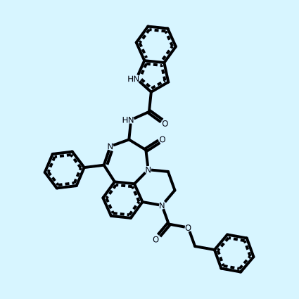 O=C(NC1N=C(c2ccccc2)c2cccc3c2N(CCN3C(=O)OCc2ccccc2)C1=O)c1cc2ccccc2[nH]1